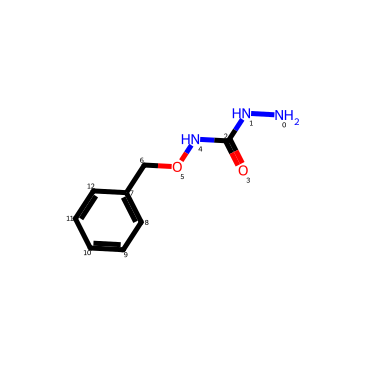 NNC(=O)NOCc1ccccc1